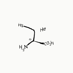 N[C@@H](CS)C(=O)O.[He]